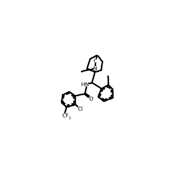 Cc1ccccc1C(NC(=O)c1cccc(C(F)(F)F)c1Cl)C12CCC(CC1)CN2C